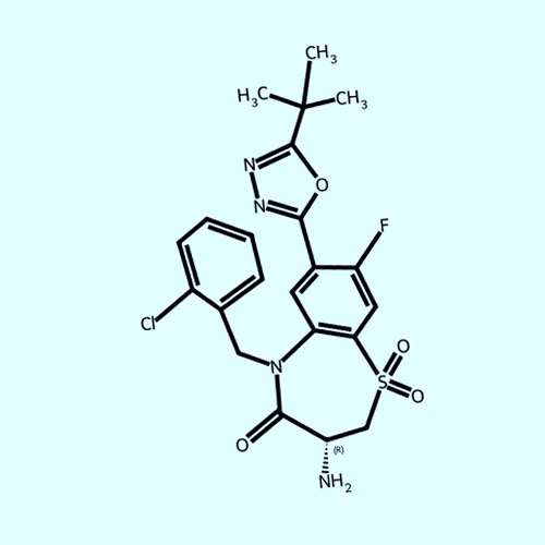 CC(C)(C)c1nnc(-c2cc3c(cc2F)S(=O)(=O)C[C@H](N)C(=O)N3Cc2ccccc2Cl)o1